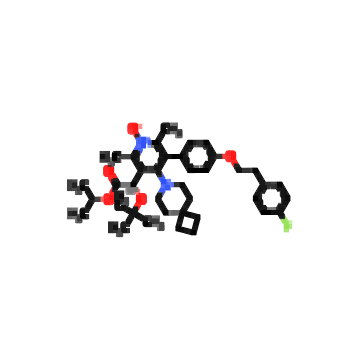 Cc1c(-c2ccc(OCCc3ccc(F)cc3)cc2)c(N2CCC3(CCC3)CC2)c([C@H](OC(C)(C)C)C(=O)OC(C)C)c(C)[n+]1[O-]